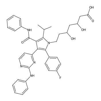 CC(C)c1c(C(=O)Nc2ccccc2)c(-c2ccnc(Nc3ccccc3)n2)c(-c2ccc(F)cc2)n1CCC(O)CC(O)CC(=O)O